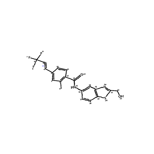 Cc1cc(/C=C/C(F)(F)F)ccc1C(=O)Nc1cnc2sc(CO)nc2c1